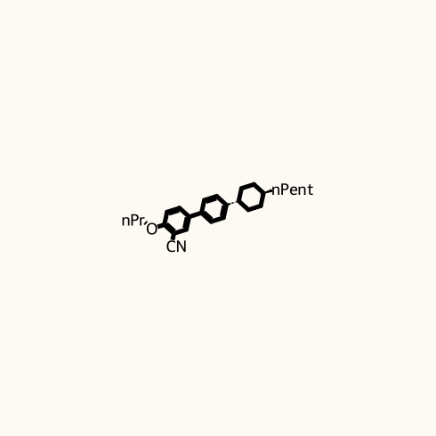 CCCCC[C@H]1CC[C@H](c2ccc(-c3ccc(OCCC)c(C#N)c3)cc2)CC1